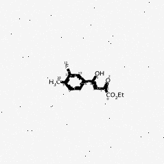 CCOC(=O)C(=O)/C=C(\O)c1ccc(C)c(F)c1